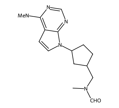 CNc1ncnc2c1ccn2C1CCC(CN(C)C=O)C1